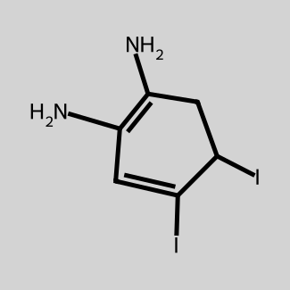 NC1=C(N)CC(I)C(I)=C1